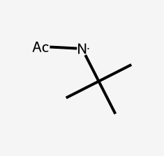 CC(=O)[N]C(C)(C)C